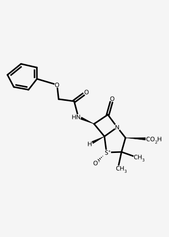 CC1(C)[C@H](C(=O)O)N2C(=O)[C@H](NC(=O)COc3ccccc3)[C@H]2[S@@+]1[O-]